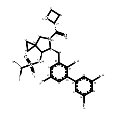 C[C@@H](F)S(=O)(=O)N[C@@H]1[C@H](Cc2cc(F)cc(-c3cc(F)cc(F)c3)c2F)N(C(=O)[C@H]2CCO2)CC12CC2